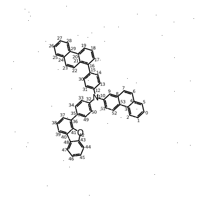 c1ccc2c(c1)ccc1cc(N(c3ccc(-c4cccc5c4ccc4ccccc45)cc3)c3ccc(-c4cccc5c4oc4ccccc45)cc3)ccc12